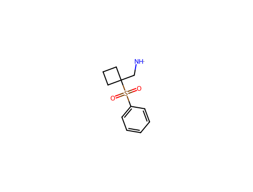 [NH]CC1(S(=O)(=O)c2ccccc2)CCC1